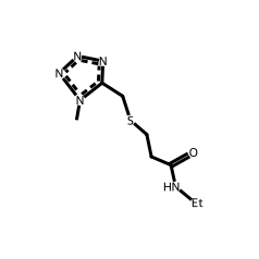 CCNC(=O)CCSCc1nnnn1C